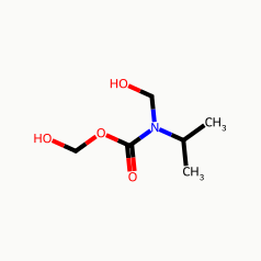 CC(C)N(CO)C(=O)OCO